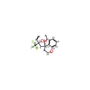 C=CC(O)(CC1(CCC)CCOc2ccccc21)C(F)(F)F